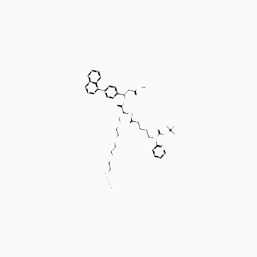 COC(=O)CC(NC(=O)[C@H](COCCOCCOCCN=[N+]=[N-])NC(=O)CCCCN(C(=O)OC(C)(C)C)c1ccccn1)c1ccc(-c2cccc3ccccc23)cc1